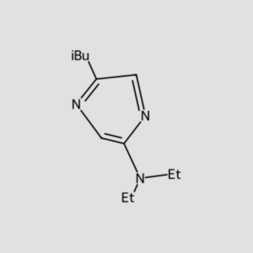 CCC(C)c1cnc(N(CC)CC)cn1